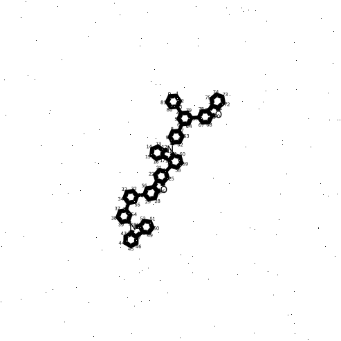 c1ccc(-c2cc(-c3ccc(-n4c5ccccc5c5c(-c6ccc7c(c6)oc6ccc(-c8cccc(-c9cccc(-n%10c%11ccccc%11c%11ccccc%11%10)c9)c8)cc67)cccc54)cc3)cc(-c3ccc4oc5ccccc5c4c3)c2)cc1